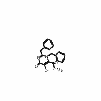 COC(=O)c1c(O)c(=O)nc(Cc2ccccc2)n1Cc1ccccc1